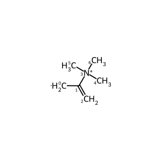 [CH2]C(=C)[N+](C)(C)C